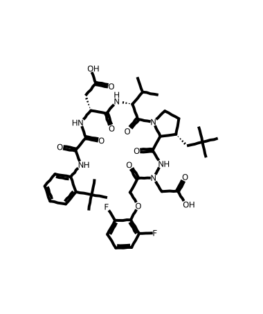 CC(C)[C@@H](NC(=O)[C@@H](CC(=O)O)NC(=O)C(=O)Nc1ccccc1C(C)(C)C)C(=O)N1CC[C@H](CC(C)(C)C)C1C(=O)NN(CC(=O)O)C(=O)COc1c(F)cccc1F